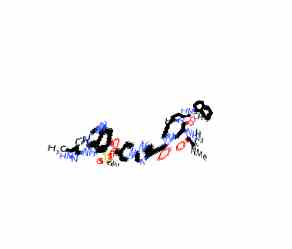 CN[C@@H](C)C(=O)N[C@H]1CN(C(=O)c2cnc(N3CCC(COc4cc5ncnc(Nc6n[nH]c(C)c6C)c5cc4S(=O)(=O)C(C)(C)C)CC3)cn2)CC[C@H]2CC[C@@H](C(=O)N[C@]3(C=O)C=CCc4ccccc43)N2C1=O